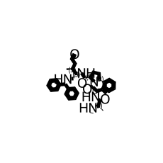 CN[C@@H](C)C(=O)N[C@H](C(=O)N1[C@@H](c2ccccc2)CC[C@H]1C(=O)N[C@H](CNC(c1ccccc1)c1ccccc1)[C@@H](C)CC=O)C(C)C